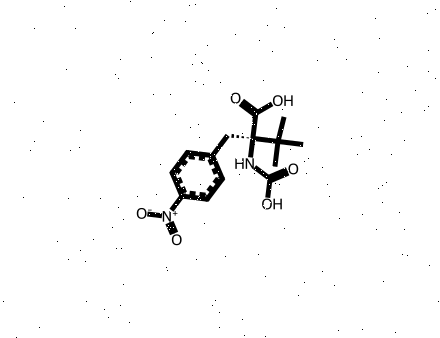 CC(C)(C)[C@@](Cc1ccc([N+](=O)[O-])cc1)(NC(=O)O)C(=O)O